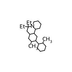 CCC1(CC)CC2CC(C)C(C3CCCCC3C)CC2C2CCCCN21